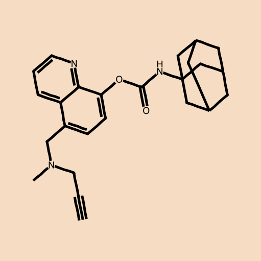 C#CCN(C)Cc1ccc(OC(=O)NC23CC4CC(CC(C4)C2)C3)c2ncccc12